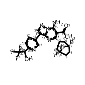 CC(=O)c1c([C@@H]2C[C@H]3CC[C@@H](C2)N3)nc2c(-c3ccc(C(O)C(F)(F)F)nc3)cnn2c1N